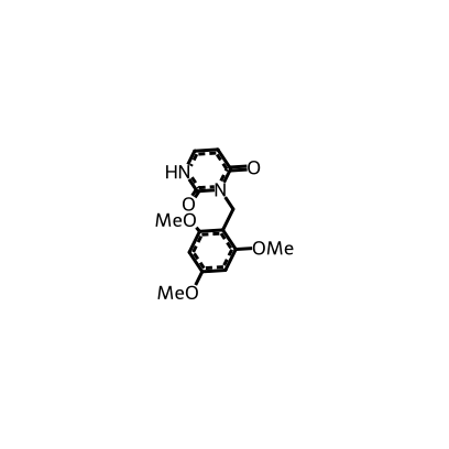 COc1cc(OC)c(Cn2c(=O)cc[nH]c2=O)c(OC)c1